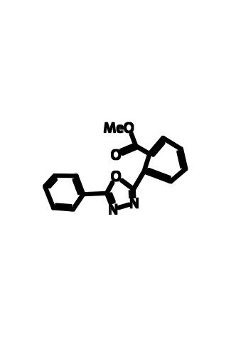 COC(=O)c1ccccc1-c1nnc(-c2ccccc2)o1